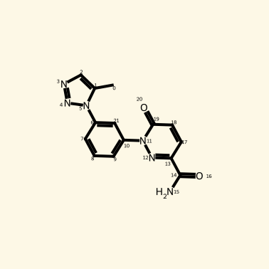 Cc1cnnn1-c1cccc(-n2nc(C(N)=O)ccc2=O)c1